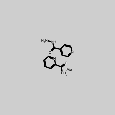 CC(=O)c1ccccn1.NNC(=O)c1ccncc1.[Mo]